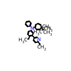 C=Cc1ccc(-c2cc(N(C3=CC=CC(C)(C(C)(C)C)C=C3)c3ccccc3)ccc2CC)cn1